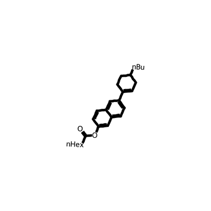 CCCCCCC(=O)Oc1ccc2cc(C3=CCC(CCCC)CC3)ccc2c1